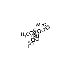 COc1ccccc1COc1ccc(S(=O)(=O)c2ccc(C)nc2Nc2ccc(OC(F)F)cc2Cl)cc1